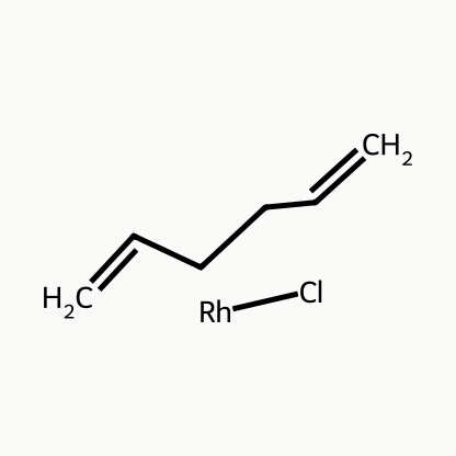 C=CCCC=C.[Cl][Rh]